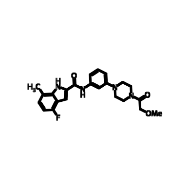 COCC(=O)N1CCN(c2cccc(NC(=O)c3cc4c(F)ccc(C)c4[nH]3)c2)CC1